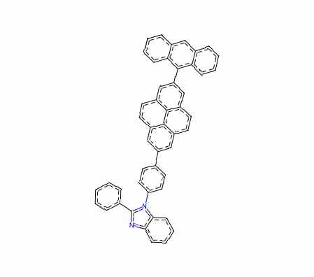 c1ccc(-c2nc3ccccc3n2-c2ccc(-c3cc4ccc5cc(-c6c7ccccc7cc7ccccc67)cc6ccc(c3)c4c56)cc2)cc1